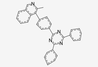 Cc1ncc2ccccc2c1-c1ccc(-c2nc(-c3ccccc3)nc(-c3ccccc3)n2)cc1